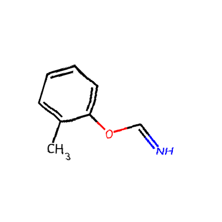 Cc1ccccc1OC=N